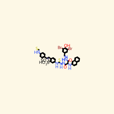 O=C(N/N=C/c1cc(Br)c(O)c(Br)c1)C(Nc1ccc2ccccc2c1)C(=O)NNC(=S)Nc1ccc(/C=C/c2ccc(NC=S)cc2S(=O)(=O)O)c(S(=O)(=O)O)c1